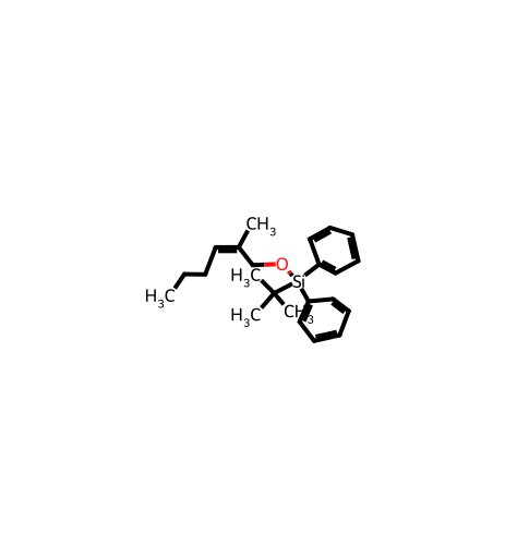 CCC/C=C(/C)CO[Si](c1ccccc1)(c1ccccc1)C(C)(C)C